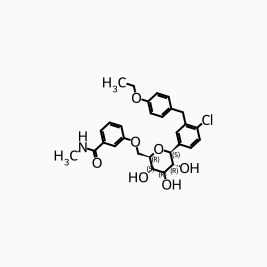 CCOc1ccc(Cc2cc([C@@H]3O[C@H](COc4cccc(C(=O)NC)c4)[C@@H](O)[C@H](O)[C@H]3O)ccc2Cl)cc1